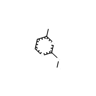 [CH2]CCCNc1nccc(C(F)(F)F)n1